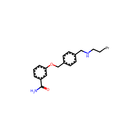 CC(C)CCNCc1ccc(COc2cccc(C(N)=O)c2)cc1